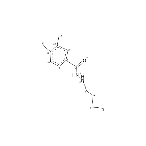 CCCCNNC(=O)c1ccc(C)c(C)c1